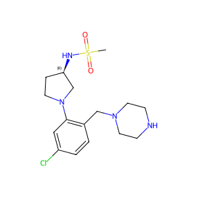 CS(=O)(=O)N[C@@H]1CCN(c2cc(Cl)ccc2CN2CCNCC2)C1